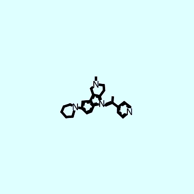 C/C(=C\n1c2c(c3cc(N4CCCCC4)ccc31)CN(C)CC2)c1ccncc1